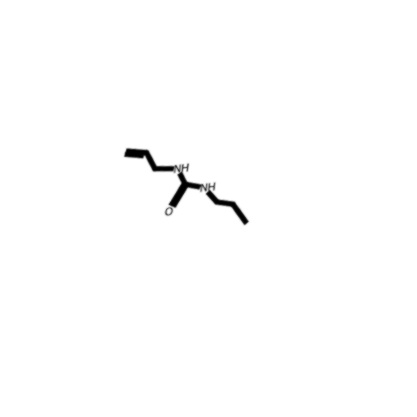 C=CCNC(=O)NCCC